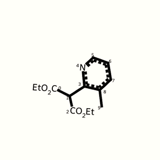 CCOC(=O)C(C(=O)OCC)c1ncccc1C